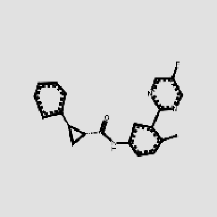 Cc1ccc(NC(=O)[C@@H]2C[C@H]2c2ccccc2)cc1-c1ncc(F)cn1